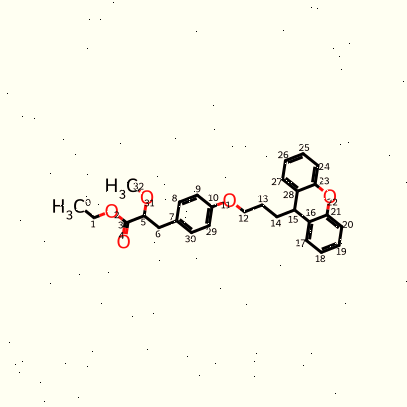 CCOC(=O)C(Cc1ccc(OCCCC2c3ccccc3Oc3ccccc32)cc1)OC